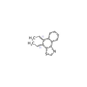 C/C=c1\c(=C/C)c2scnc2c2ccccc12